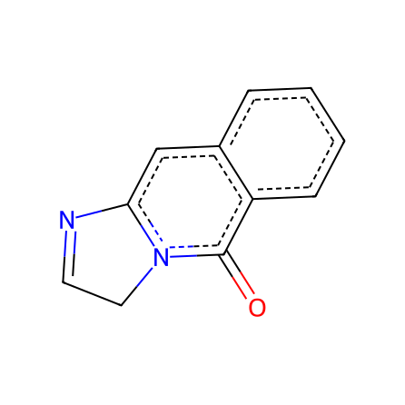 O=c1c2ccccc2cc2n1CC=N2